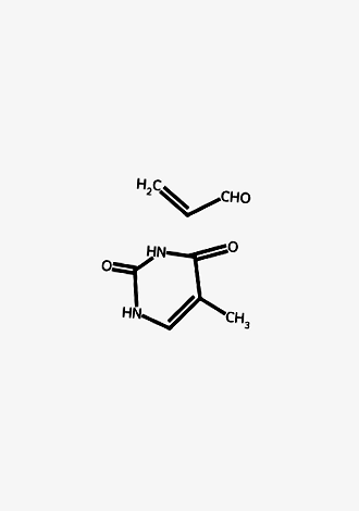 C=CC=O.Cc1c[nH]c(=O)[nH]c1=O